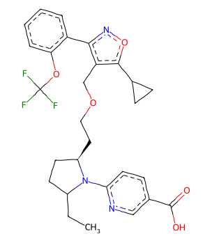 CCC1CC[C@@H](CCOCc2c(-c3ccccc3OC(F)(F)F)noc2C2CC2)N1c1ccc(C(=O)O)cn1